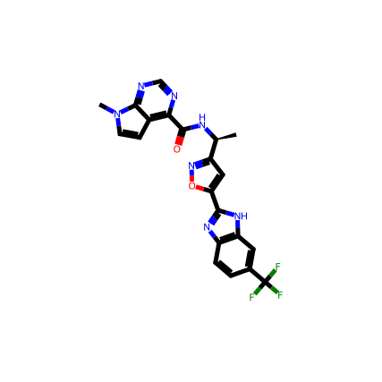 C[C@H](NC(=O)c1ncnc2c1ccn2C)c1cc(-c2nc3ccc(C(F)(F)F)cc3[nH]2)on1